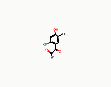 Cc1cc(C(=O)C(=O)C(C)C)c(Cl)cc1O